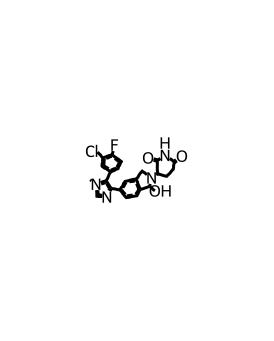 Cn1cnc(-c2ccc3c(c2)CN(C2CCC(=O)NC2=O)C3O)c1-c1ccc(F)c(Cl)c1